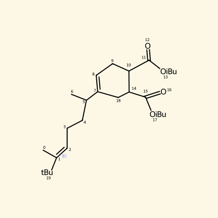 C/C(=C\CCC(C)C1=CCC(C(=O)OCC(C)C)C(C(=O)OCC(C)C)C1)C(C)(C)C